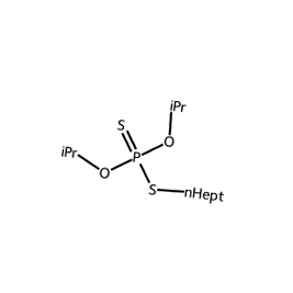 CCCCCCCSP(=S)(OC(C)C)OC(C)C